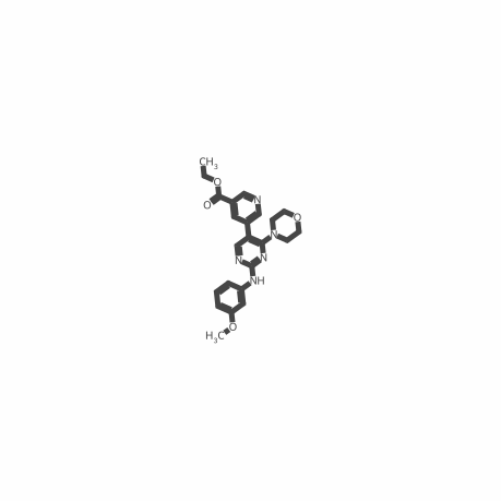 CCOC(=O)c1cncc(-c2cnc(Nc3cccc(OC)c3)nc2N2CCOCC2)c1